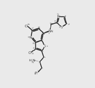 CC(C)C[C@H](N)Cc1sc2c(NCc3nccs3)cc(Cl)nc2c1Cl